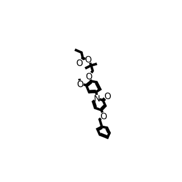 CCC(=O)OC(C)(C)COc1ccc(-n2ccc(OCc3ccccc3)cc2=O)cc1OC